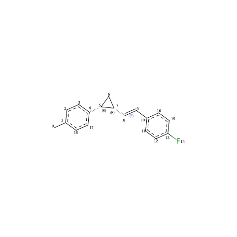 Cc1ccc([C@@H]2C[C@@H]2/C=C/c2ccc(F)cc2)cc1